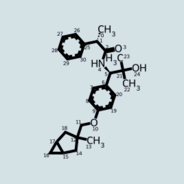 C[C@H](C(=O)N[C@H](c1ccc(OCC2(C)CC3CC3C2)cc1)C(C)(C)O)c1ccccc1